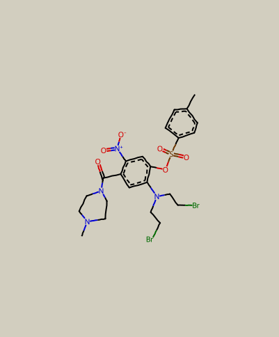 Cc1ccc(S(=O)(=O)Oc2cc([N+](=O)[O-])c(C(=O)N3CCN(C)CC3)cc2N(CCBr)CCBr)cc1